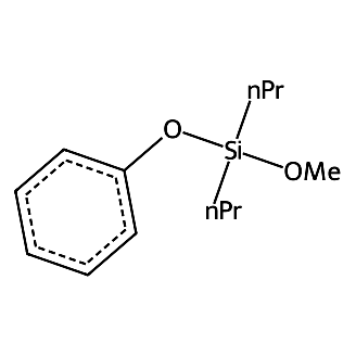 CCC[Si](CCC)(OC)Oc1ccccc1